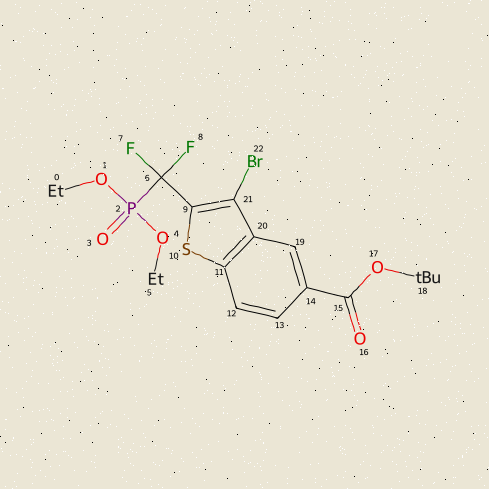 CCOP(=O)(OCC)C(F)(F)c1sc2ccc(C(=O)OC(C)(C)C)cc2c1Br